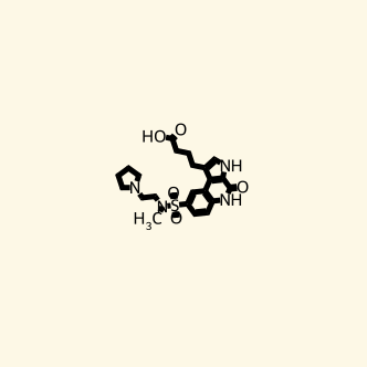 CN(CCN1CCCC1)S(=O)(=O)c1ccc2[nH]c(=O)c3[nH]cc(CCCC(=O)O)c3c2c1